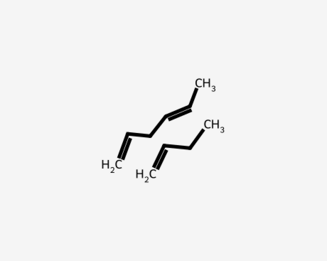 C=CCC.C=CCC=CC